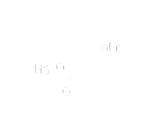 CCCCCCC(=O)OS